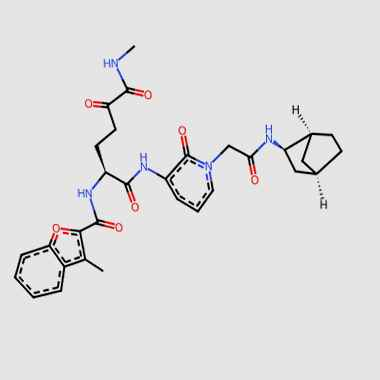 CNC(=O)C(=O)CC[C@H](NC(=O)c1oc2ccccc2c1C)C(=O)Nc1cccn(CC(=O)N[C@@H]2C[C@@H]3CC[C@H]2C3)c1=O